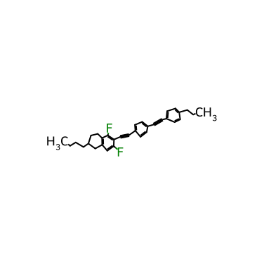 CCCCC1CCc2c(cc(F)c(C#Cc3ccc(C#Cc4ccc(CCC)cc4)cc3)c2F)C1